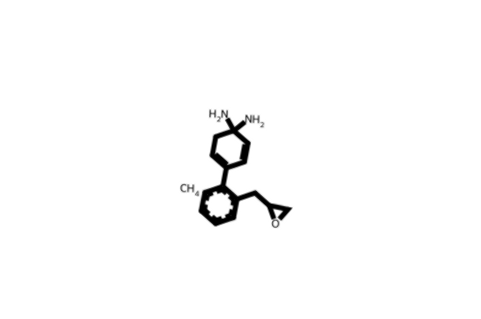 C.NC1(N)C=CC(c2ccccc2CC2CO2)=CC1